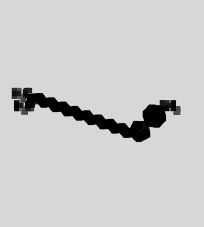 CN(C)CCCCCCCCCCCCCCCCC1CCN(c2ccc(N)cc2)C1